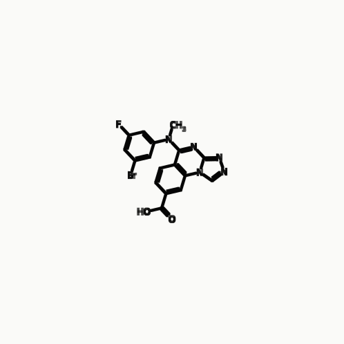 CN(c1cc(F)cc(Br)c1)c1nc2nncn2c2cc(C(=O)O)ccc12